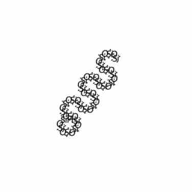 C[SiH2]O[Si](C)(C)O[Si](C)(C)O[Si](C)(C)O[Si](C)(C)O[Si](C)(C)O[Si](C)(C)O[Si](C)(C)O[Si](C)(C)O[Si](C)(C)O[Si](C)(C)O[Si](C)(C)O[Si](C)(C)O[Si](C)(C)O[Si](C)(C)O[Si](C)(C)O[Si](C)(C)O[Si](C)(C)O[Si](C)(C)O[Si](C)(C)O[Si](C)(C)O[Si](C)(C)O[Si](C)(C)O[Si](C)(C)O[Si](C)(C)O[Si](C)(C)C